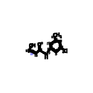 Cc1cc(Cl)cc(NC(=O)/C=N\O)c1